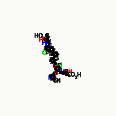 Cc1c(COc2cc(OCc3cncc(C#N)c3)c(CNC[C@@H](O)CC(=O)O)cc2Cl)cccc1-c1cccc(-c2ccc3c(CNC[C@@H](O)CC(=O)O)ccc(Cl)c3c2)c1C